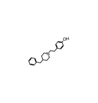 Oc1ccc(CCN2CCC(Cc3ccccc3)CC2)cc1